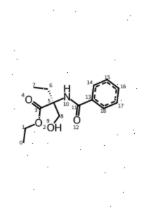 CCOC(=O)[C@](CC)(CO)NC(=O)c1ccccc1